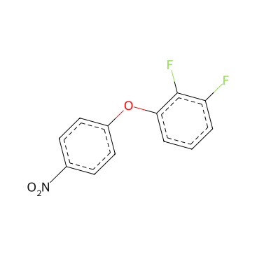 O=[N+]([O-])c1ccc(Oc2cccc(F)c2F)cc1